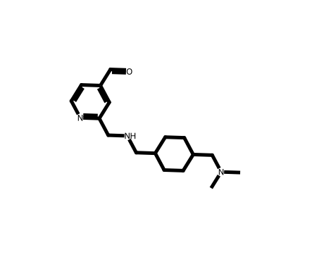 CN(C)CC1CCC(CNCc2cc(C=O)ccn2)CC1